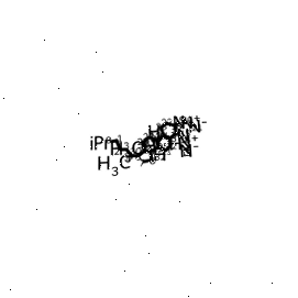 CC(C)CCC[C@@H](C)[C@H]1CC[C@H]2[C@@H]3CCC4C(N=[N+]=[N-])C(N=[N+]=[N-])CC[C@]4(C)[C@H]3CC[C@]12C